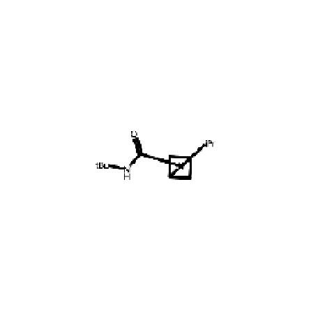 CC(C)C12CC(C1)N(C(=O)NC(C)(C)C)C2